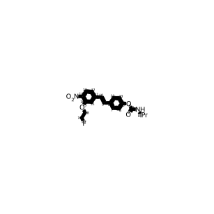 CC(C)NC(=O)Oc1ccc(/C=C/c2ccc([N+](=O)[O-])c(OCCF)c2)cc1